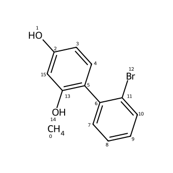 C.Oc1ccc(-c2ccccc2Br)c(O)c1